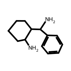 NC1CCCCC1C(N)c1ccccc1